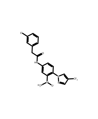 N[S+]([O-])c1cc(NC(=O)Cc2cccc(Cl)c2)ccc1-n1cc(C(F)(F)F)cn1